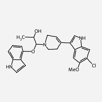 COc1cc2c(C3=CCN(C(Oc4cccc5[nH]ccc45)C(C)O)CC3)c[nH]c2cc1Cl